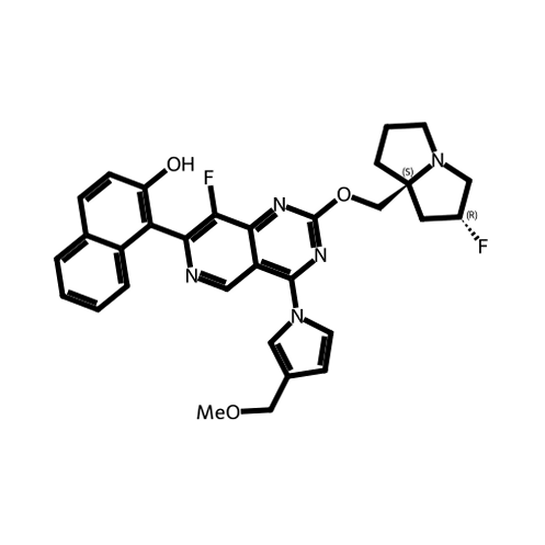 COCc1ccn(-c2nc(OC[C@@]34CCCN3C[C@H](F)C4)nc3c(F)c(-c4c(O)ccc5ccccc45)ncc23)c1